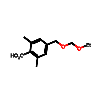 CCOCOCc1cc(C)c(C(=O)O)c(C)c1